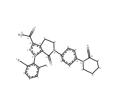 Cc1cccc(F)c1-n1nc(C(N)=O)c2c1C(=O)N(c1ccc(N3CCCCC3=O)cc1)CC2